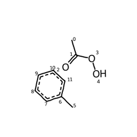 CC(=O)OO.Cc1ccccc1